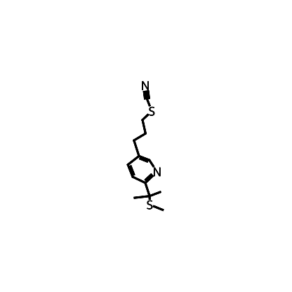 CSC(C)(C)c1ccc(CCCSC#N)cn1